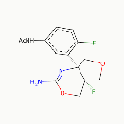 CC(=O)Nc1ccc(F)c([C@]23COC[C@@]2(F)COC(N)=N3)c1